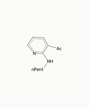 CCCCCNc1ncccc1C(C)=O